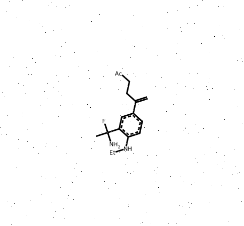 C=C(CCC(C)=O)c1ccc(NCC)c(C(C)(N)F)c1